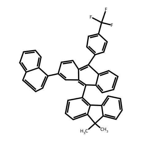 CC1(C)c2ccccc2-c2c(-c3c4ccccc4c(-c4ccc(C(F)(F)F)cc4)c4ccc(-c5cccc6ccccc56)cc34)cccc21